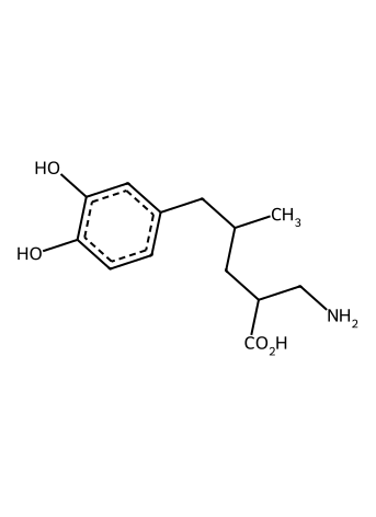 CC(Cc1ccc(O)c(O)c1)CC(CN)C(=O)O